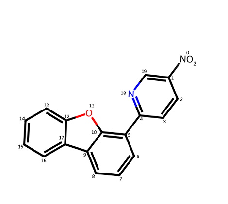 O=[N+]([O-])c1ccc(-c2cccc3c2oc2ccccc23)nc1